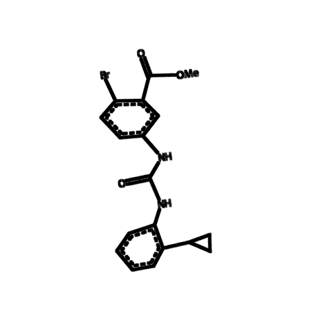 COC(=O)c1cc(NC(=O)Nc2ccccc2C2CC2)ccc1Br